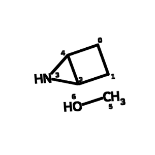 C1CC2NC12.CO